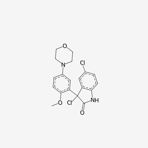 COc1ccc(N2CCOCC2)cc1C1(Cl)C(=O)Nc2ccc(Cl)cc21